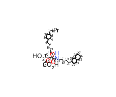 CC(C)Cc1ccc(CCCCCOC(C(=O)NCCCCCc2ccc3ccccc3c2)C(OCC(=O)O)C(=O)O)cc1